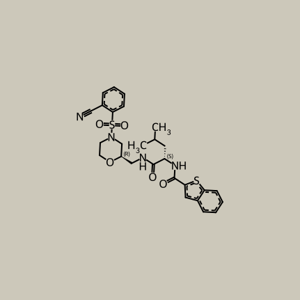 CC(C)C[C@H](NC(=O)c1cc2ccccc2s1)C(=O)NC[C@@H]1CN(S(=O)(=O)c2ccccc2C#N)CCO1